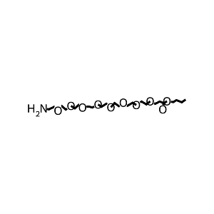 CCCCOC(=O)CCOCCOCCOCCOCCOCCOCCOCCOCCN